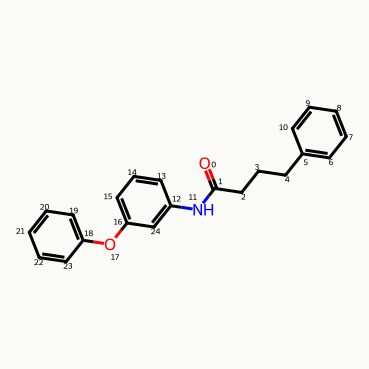 O=C(CCCc1ccccc1)Nc1cccc(Oc2ccccc2)c1